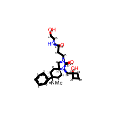 CN[C@]1(c2ccccc2)CC[C@@]2(CC1)CN(CCC(=O)NCCO)C(=O)N2CC1(O)CCC1